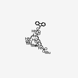 CC(C)(C)OC(=O)NCCCC[C@H](NC(=O)OCC1c2ccccc2-c2ccccc21)C(=O)NC[C@H](O)CN(C[C@H](O)CNC(=O)OC(C)(C)C)C(=O)OC(C)(C)C